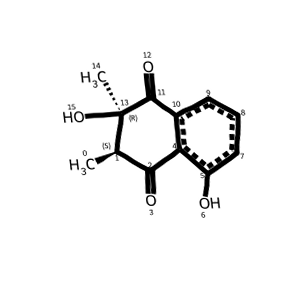 C[C@@H]1C(=O)c2c(O)cccc2C(=O)[C@]1(C)O